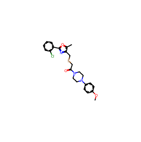 COc1ccc(N2CCN(C(=O)CSCc3nc(-c4ccccc4Cl)oc3C)CC2)cc1